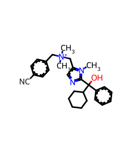 Cn1c(C[N+](C)(C)Cc2ccc(C#N)cc2)cnc1C(O)(c1ccccc1)C1CCCCC1